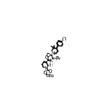 CC(C)[C@@H](NC(=O)[C@@H]1CCCN(C(=O)OC(C)(C)C)C1)C(=O)N1CCC(c2ccc(Cl)cc2)C(C)(C)C1